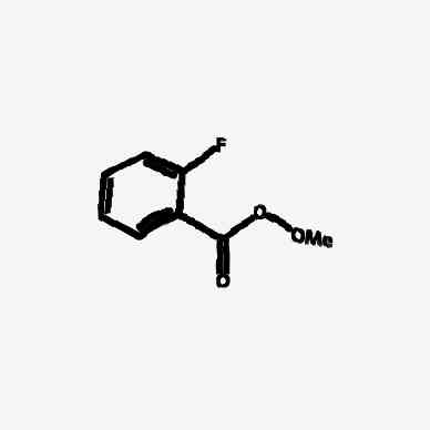 COOC(=O)c1ccccc1F